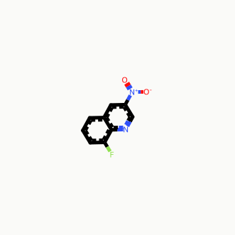 O=[N+]([O-])c1cnc2c(F)cccc2c1